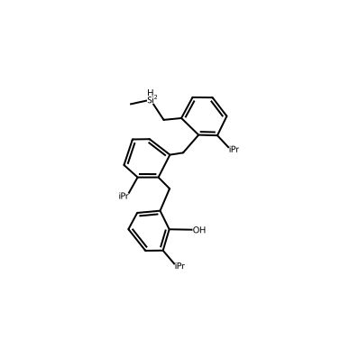 C[SiH2]Cc1cccc(C(C)C)c1Cc1cccc(C(C)C)c1Cc1cccc(C(C)C)c1O